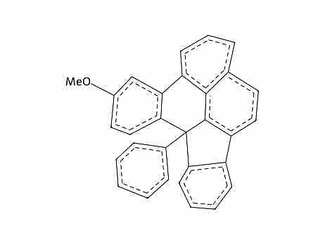 COc1ccc2c(c1)-c1cccc3ccc4c(c13)C2(c1ccccc1)c1ccccc1-4